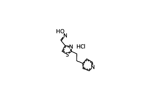 Cl.ON=Cc1csc(CCc2ccncc2)n1